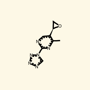 Cc1nc(-n2cnnn2)ncc1[C@H]1CO1